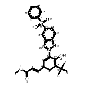 COC(=O)C=CC1C=C(n2nc3ccc(S(=O)(=O)c4ccccc4)cc3n2)C(O)=C(C(C)(C)C)C1